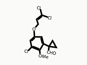 COc1c(Cl)cc(OCC=C(Cl)Cl)cc1C1(C=O)CC1